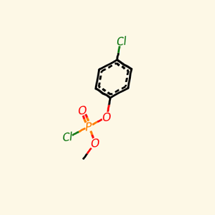 COP(=O)(Cl)Oc1ccc(Cl)cc1